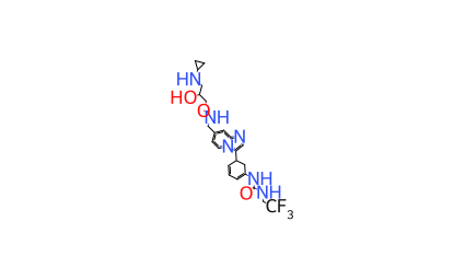 O=C(NCC(F)(F)F)NC1=CC=CC(c2cnc3cc(CNOCC(O)CNC4CC4)ccn23)C1